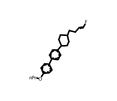 CCCOc1ccc(-c2ccc(C3CCC(CC/C=C/F)CC3)cc2)cc1